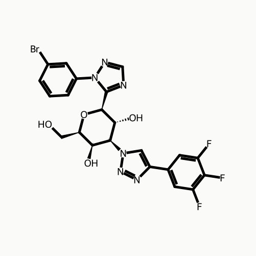 OC[C@H]1O[C@@H](c2ncnn2-c2cccc(Br)c2)[C@H](O)[C@@H](n2cc(-c3cc(F)c(F)c(F)c3)nn2)[C@H]1O